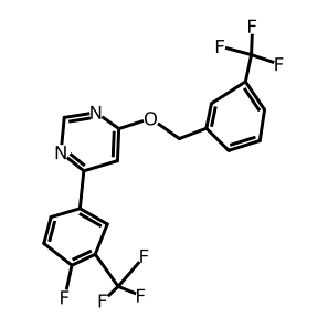 Fc1ccc(-c2cc(OCc3cccc(C(F)(F)F)c3)ncn2)cc1C(F)(F)F